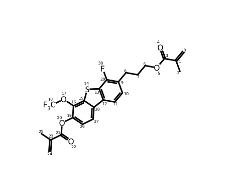 C=C(C)C(=O)OCCCc1ccc2c(sc3c(OC(F)(F)F)c(OC(=O)C(=C)C)ccc32)c1F